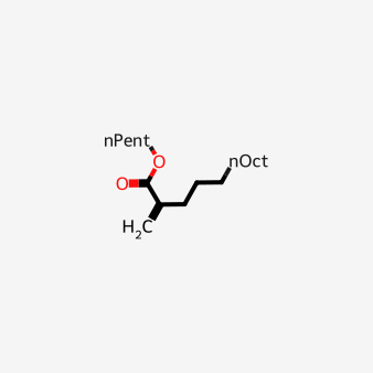 C=C(CCCCCCCCCCC)C(=O)OCCCCC